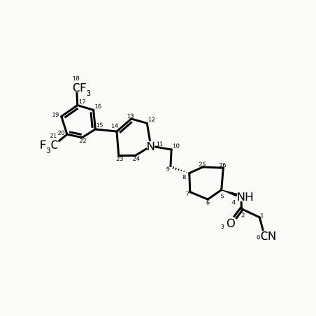 N#CCC(=O)N[C@H]1CC[C@H](CCN2CC=C(c3cc(C(F)(F)F)cc(C(F)(F)F)c3)CC2)CC1